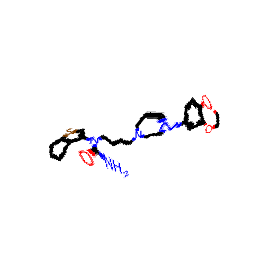 NC(=O)N(CCCCN1CCCN(c2ccc3c(c2)OCCO3)CC1)c1csc2ccccc12